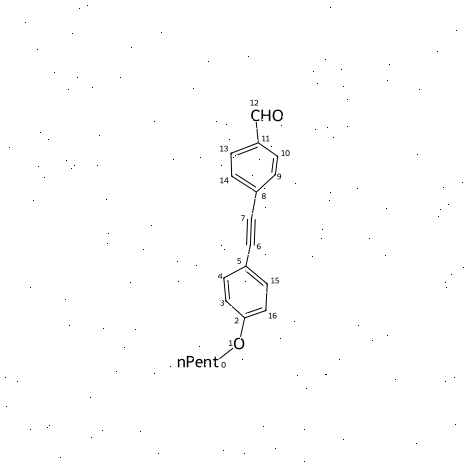 CCCCCOc1ccc(C#Cc2ccc(C=O)cc2)cc1